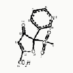 CS(=O)(=O)C1(c2cccnc2)OC(C(=O)O)=CC1=O